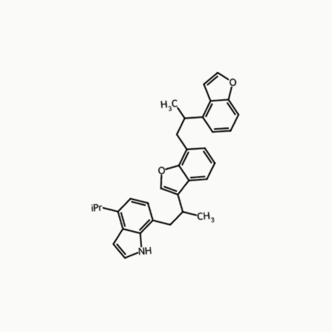 CC(C)c1ccc(CC(C)c2coc3c(CC(C)c4cccc5occc45)cccc23)c2[nH]ccc12